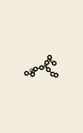 c1ccc(-c2cccc3c2oc2ccc(-c4ccc(N(c5ccc(-c6ccc7ccccc7c6)cc5)c5ccc6c7ccccc7n(-c7ccccc7)c6c5)cc4)cc23)cc1